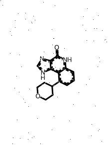 O=c1[nH]c2cccc(C3CCOCC3)c2c2[nH]cnc12